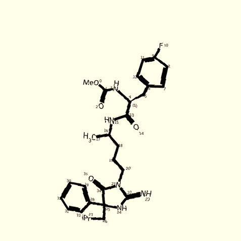 COC(=O)N[C@@H](Cc1ccc(F)cc1)C(=O)NC(C)CCCN1C(=N)NC(CC(C)C)(c2ccccc2)C1=O